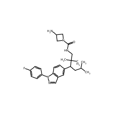 CC(C)CC(c1ccc2c(cnn2-c2ccc(F)cc2)c1)C(C)(C)CNC(=O)N1CC(N)C1